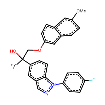 COc1ccc2cc(OCC(O)(c3ccc4c(cnn4-c4ccc(F)cc4)c3)C(F)(F)F)ccc2c1